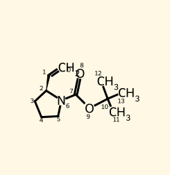 C=C[C@@H]1CCCN1C(=O)OC(C)(C)C